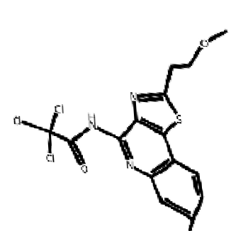 COCCc1nc2c(NC(=O)C(Cl)(Cl)Cl)nc3cc(Br)ccc3c2s1